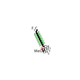 CO[Si](C)(C)OC(C)C(F)(F)C(F)(F)C(F)(F)C(F)(F)C(F)(F)C(F)(F)C(F)(F)CCC(F)(F)F